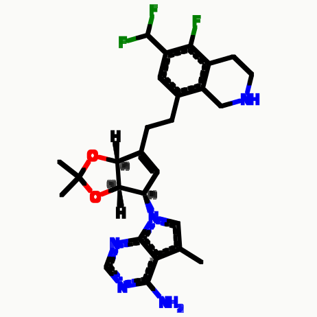 Cc1cn([C@@H]2C=C(CCc3cc(C(F)F)c(F)c4c3CNCC4)[C@H]3OC(C)(C)O[C@H]32)c2ncnc(N)c12